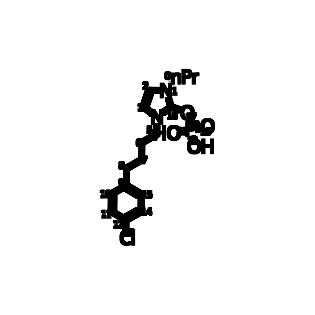 CCCN1C=CN(CCCCc2ccc(Cl)cc2)C1OP(=O)(O)O